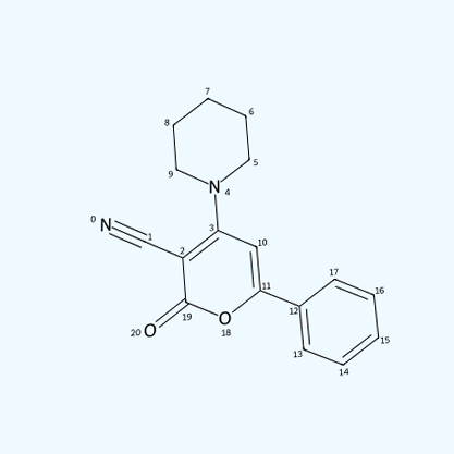 N#Cc1c(N2CCCCC2)cc(-c2ccccc2)oc1=O